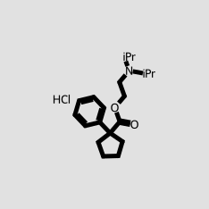 CC(C)N(CCOC(=O)C1(c2ccccc2)CCCC1)C(C)C.Cl